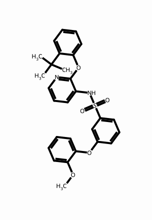 COc1ccccc1Oc1cccc(S(=O)(=O)Nc2cccnc2Oc2ccccc2C(C)(C)C)c1